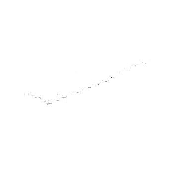 CCCCCCCCCCCCCCCCCCCCCC(=O)NCCC[N+](C)(C)CCCO.[Cl-]